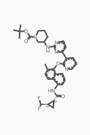 Cc1ccc2c(NC(=O)[C@@H]3C[C@H]3C(F)F)cccc2c1Oc1ncccc1-c1ccnc(NC2CCCN(C(=O)OC(C)(C)C)C2)n1